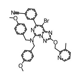 COc1ccc(CN(Cc2ccc(OC)cc2)c2nc(-c3cccc(C#N)c3)c(Br)c3nc(OCc4ncccc4C)nn23)cc1